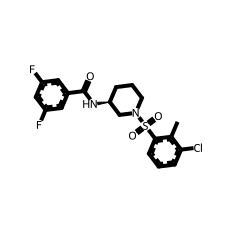 Cc1c(Cl)cccc1S(=O)(=O)N1CCC[C@H](NC(=O)c2cc(F)cc(F)c2)C1